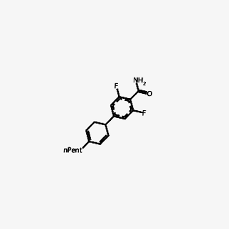 CCCCCC1=CCC(c2cc(F)c(C(N)=O)c(F)c2)C=C1